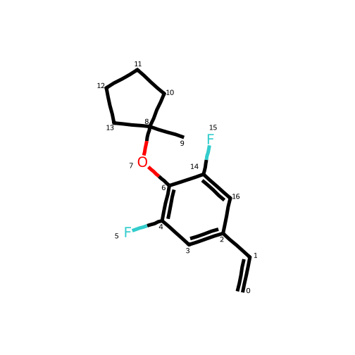 C=Cc1cc(F)c(OC2(C)CCCC2)c(F)c1